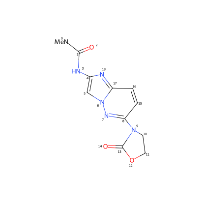 CNC(=O)Nc1cn2nc(N3CCOC3=O)ccc2n1